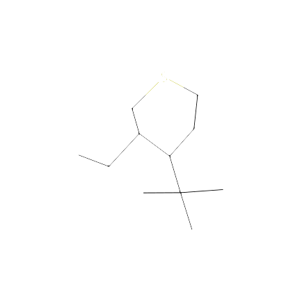 CCC1CSCCC1C(C)(C)C